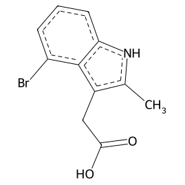 Cc1[nH]c2cccc(Br)c2c1CC(=O)O